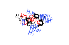 CN[C@@H]1[C@@H](O)[C@@H](O[C@@H]2[C@@H](O)[C@H](C3OC(CNC(=N)N)=CC[C@H]3NC(=N)N)[C@@H](N)C[C@H]2N)OC[C@]1(C)O